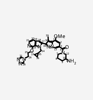 COc1cc(C(=O)N2CCCC(N)C2)cn2nc(-c3cc4ccnc(OCCn5cnnc5)c4n3CC3CC3)c(C)c12